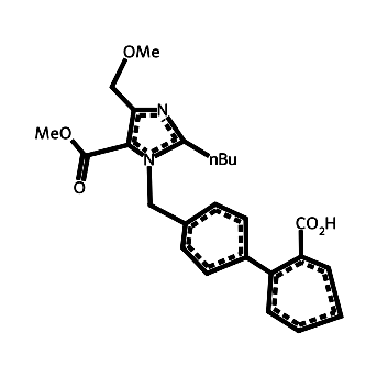 CCCCc1nc(COC)c(C(=O)OC)n1Cc1ccc(-c2ccccc2C(=O)O)cc1